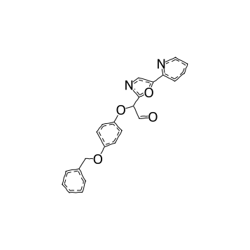 O=CC(Oc1ccc(OCc2ccccc2)cc1)c1ncc(-c2ccccn2)o1